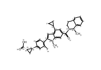 C[C@@H]1c2ccccc2CCN1C(=O)c1cc(C2CC2)c2cc(-c3ccc([C@H]4C[C@@H]4C(=O)O)cc3F)n(C)c2c1